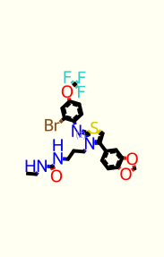 CCNC(=O)NCCCn1c(-c2ccc3c(c2)OCO3)cs/c1=N\c1ccc(OC(F)(F)F)cc1Br